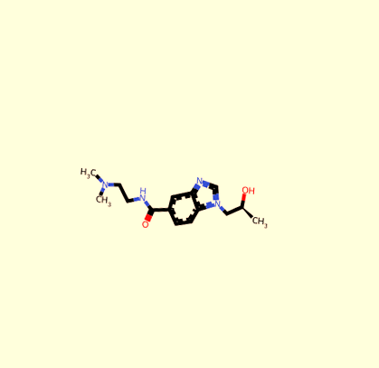 C[C@H](O)Cn1cnc2cc(C(=O)NCCN(C)C)ccc21